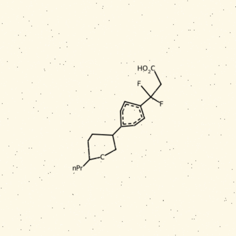 CCCC1CCC(c2ccc(C(F)(F)CC(=O)O)cc2)CC1